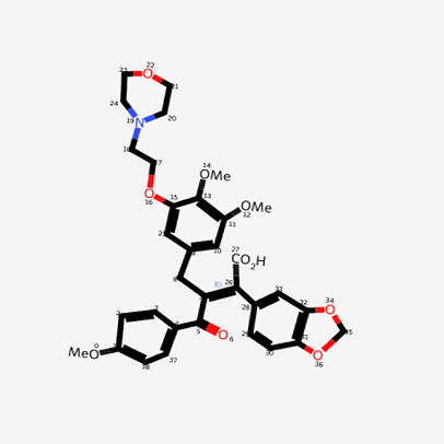 COc1ccc(C(=O)/C(Cc2cc(OC)c(OC)c(OCCN3CCOCC3)c2)=C(/C(=O)O)c2ccc3c(c2)OCO3)cc1